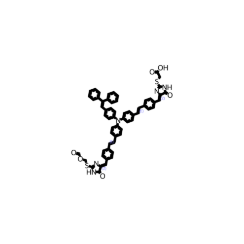 O=COCSC1=N/C(=C\c2ccc(/C=C/c3ccc(N(c4ccc(C=C(c5ccccc5)c5ccccc5)cc4)c4ccc(/C=C/c5ccc(/C=C6\N=C(SCC(=O)O)NC6=O)cc5)cc4)cc3)cc2)C(=O)N1